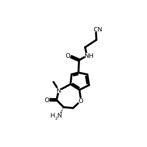 CN1C(=O)[C@@H](N)COc2ccc(C(=O)NCCC#N)cc21